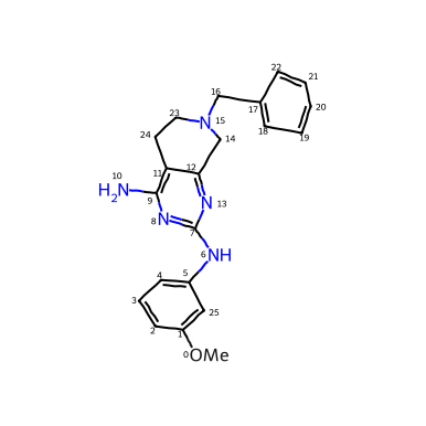 COc1cccc(Nc2nc(N)c3c(n2)CN(Cc2ccccc2)CC3)c1